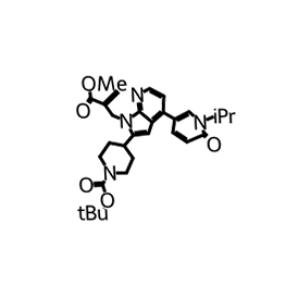 C=C(Cn1c(C2CCN(C(=O)OC(C)(C)C)CC2)cc2c(-c3ccc(=O)n(C(C)C)c3)ccnc21)C(=O)OC